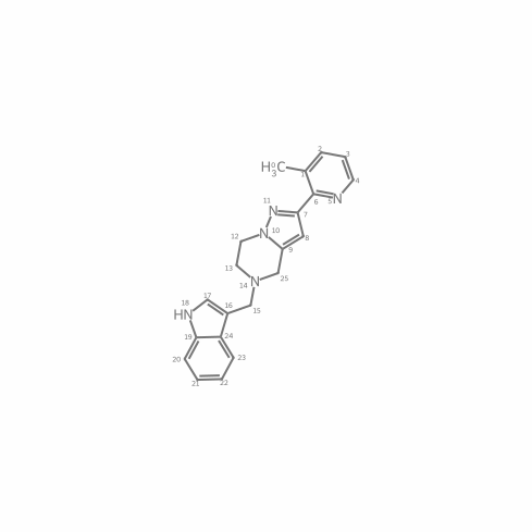 Cc1cccnc1-c1cc2n(n1)CCN(Cc1c[nH]c3ccccc13)C2